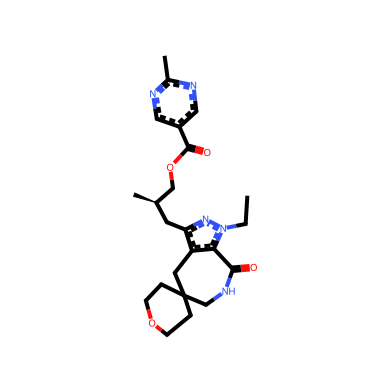 CCn1nc(C[C@@H](C)COC(=O)c2cnc(C)nc2)c2c1C(=O)NCC1(CCOCC1)C2